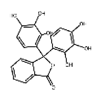 O=C1OC(c2ccc(O)c(O)c2O)(c2ccc(O)c(O)c2O)c2ccccc21